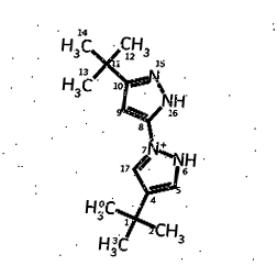 CC(C)(C)c1c[nH][n+](-c2cc(C(C)(C)C)n[nH]2)c1